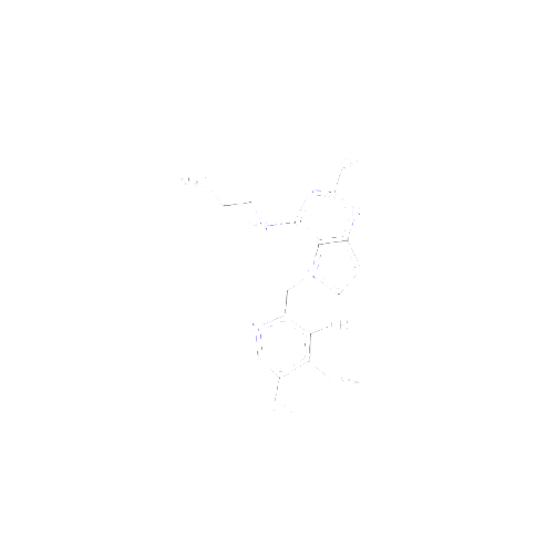 COCCNc1nc(C)nc2ccn(Cc3ncc(C)c(OC)c3C)c12